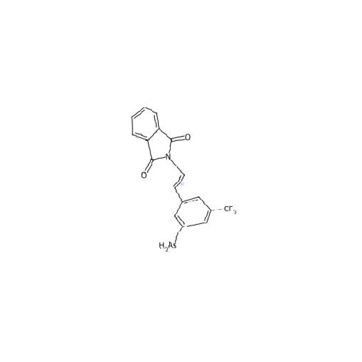 O=C1c2ccccc2C(=O)N1/C=C/c1cc([AsH2])cc(C(F)(F)F)c1